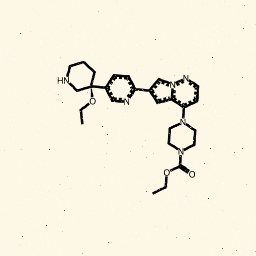 CCOC(=O)N1CCN(c2ccnn3cc(-c4ccc([C@@]5(OCC)CCCNC5)cn4)cc23)CC1